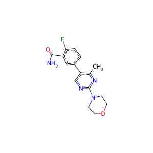 Cc1nc(N2CCOCC2)ncc1-c1ccc(F)c(C(N)=O)c1